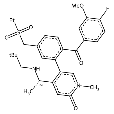 CCS(=O)(=O)Cc1ccc(C(=O)c2ccc(F)c(OC)c2)c(-c2cn(C)c(=O)cc2[C@H](C)NCC(C)(C)C)c1